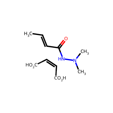 CC=CC(=O)NN(C)C.O=C(O)/C=C\C(=O)O